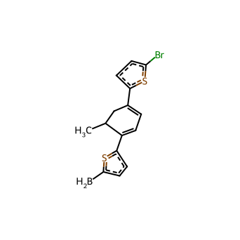 Bc1ccc(C2=CC=C(c3ccc(Br)s3)CC2C)s1